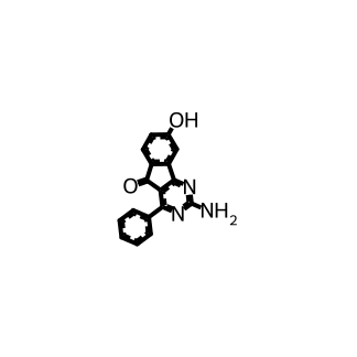 Nc1nc(-c2ccccc2)c2c(n1)-c1cc(O)ccc1C2=O